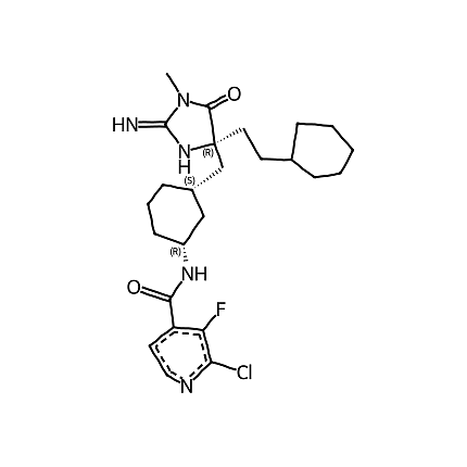 CN1C(=N)N[C@](CCC2CCCCC2)(C[C@H]2CCC[C@@H](NC(=O)c3ccnc(Cl)c3F)C2)C1=O